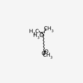 CCCCS(C)(CCCC)CCCCCCCCCCC(=O)OC